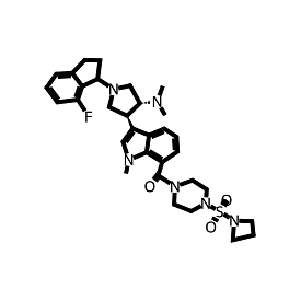 CN(C)[C@H]1CN(C2CCc3cccc(F)c32)C[C@@H]1c1cn(C)c2c(C(=O)N3CCN(S(=O)(=O)N4CCC4)CC3)cccc12